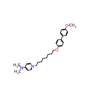 COc1ccc(-c2ccc(OCCCCCCCC[n+]3ccc(N(C)C)cc3)cc2)cc1